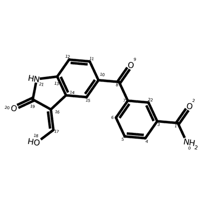 NC(=O)c1cccc(C(=O)c2ccc3c(c2)C(=CO)C(=O)N3)c1